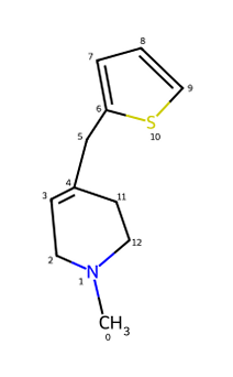 CN1CC=C(Cc2cccs2)CC1